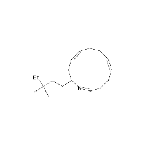 CCC(C)(C)CCC1CC=CCCC=CCCC=N1